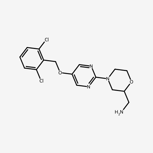 NCC1CN(c2ncc(OCc3c(Cl)cccc3Cl)cn2)CCO1